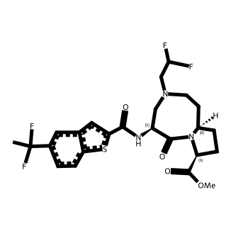 COC(=O)[C@@H]1CC[C@@H]2CCN(CC(F)F)C[C@H](NC(=O)c3cc4cc(C(C)(F)F)ccc4s3)C(=O)N21